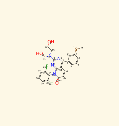 CSc1cccc(-c2nc(N(CO)CCO)nc3c2ccc(=O)n3-c2c(F)cccc2F)c1